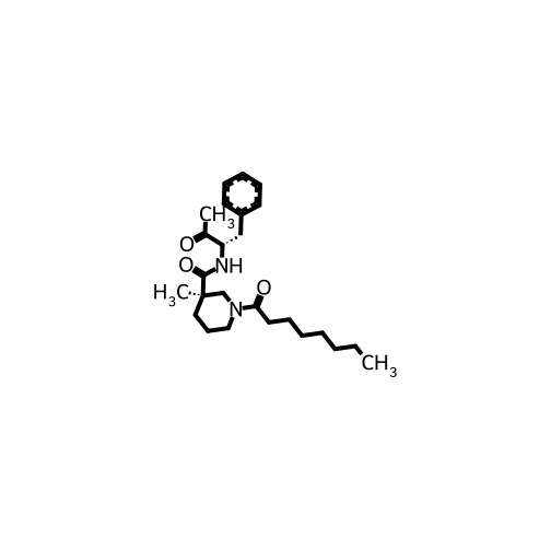 CCCCCCCC(=O)N1CCC[C@@](C)(C(=O)N[C@@H](Cc2ccccc2)C(C)=O)C1